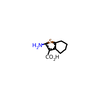 Nc1sc2c(c1C(=O)O)CCCC2